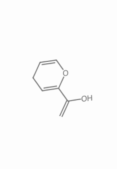 C=C(O)C1=CCC=CO1